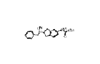 CCCN(Cc1ccccc1)C1Cc2ccc(NC(=O)C(C)(C)C)cc2C1